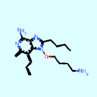 C=C/C=c1\c(=C)nc(N)c2nc(CCCC)n(OCCCCN)c12